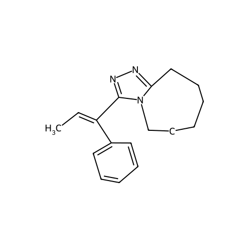 CC=C(c1ccccc1)c1nnc2n1CCCCCC2